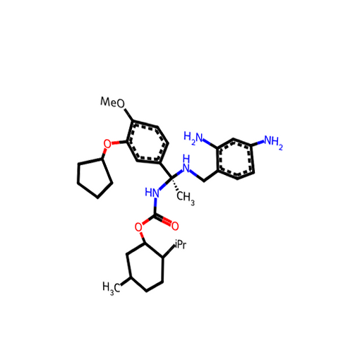 COc1ccc([C@@](C)(NCc2ccc(N)cc2N)NC(=O)OC2CC(C)CCC2C(C)C)cc1OC1CCCC1